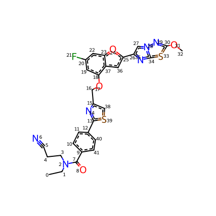 CCN(CCC#N)C(=O)c1ccc(-c2nc(COc3cc(F)cc4oc(-c5cn6nc(OC)sc6n5)cc34)cs2)cc1